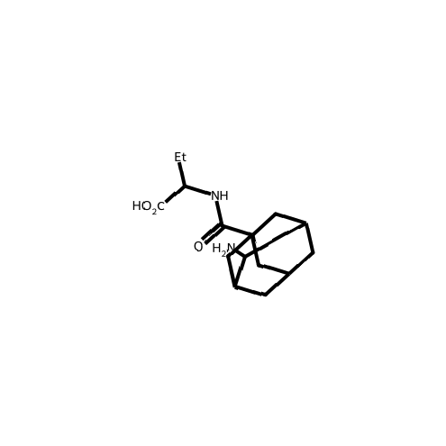 CCC(NC(=O)C12CC3CC(C1)C(N)C(C3)C2)C(=O)O